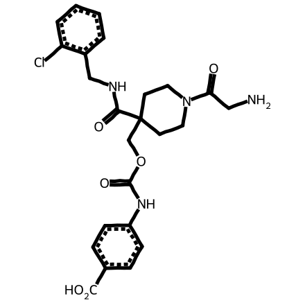 NCC(=O)N1CCC(COC(=O)Nc2ccc(C(=O)O)cc2)(C(=O)NCc2ccccc2Cl)CC1